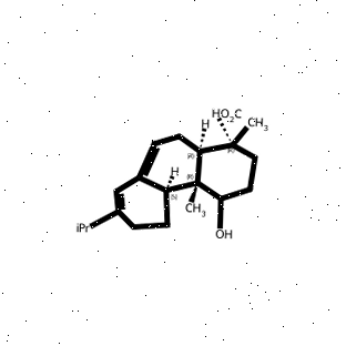 CC(C)C1=CC2=CC[C@@H]3[C@](C)(C(O)CC[C@@]3(C)C(=O)O)[C@H]2CC1